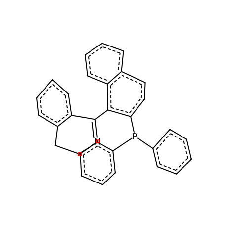 c1ccc(P(c2ccccc2)c2ccc3ccccc3c2C2=NCCc3ccccc32)cc1